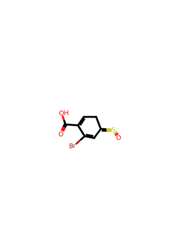 O=S=C1C=C(Br)C(C(=O)O)=CC1